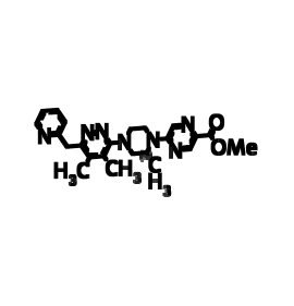 COC(=O)c1cnc(N2CCN(c3nnc(Cc4ccccn4)c(C)c3C)C[C@H]2C)cn1